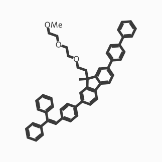 COCCOCCOCCC1(C)c2cc(-c3ccc(C=C(c4ccccc4)c4ccccc4)cc3)ccc2-c2ccc(-c3ccc(-c4ccccc4)cc3)cc21